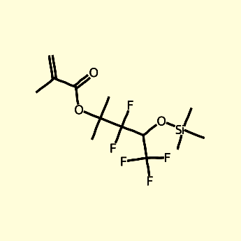 C=C(C)C(=O)OC(C)(C)C(F)(F)C(O[Si](C)(C)C)C(F)(F)F